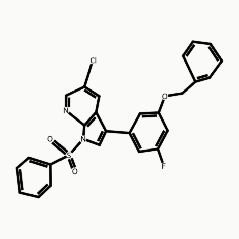 O=S(=O)(c1ccccc1)n1cc(-c2cc(F)cc(OCc3ccccc3)c2)c2cc(Cl)cnc21